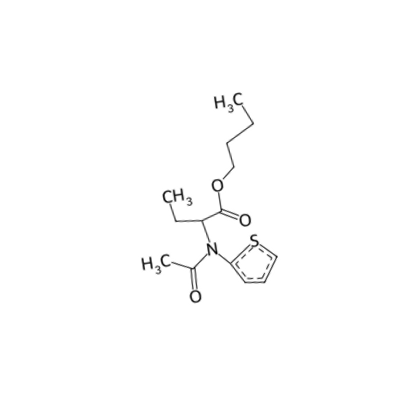 CCCCOC(=O)C(CC)N(C(C)=O)c1cccs1